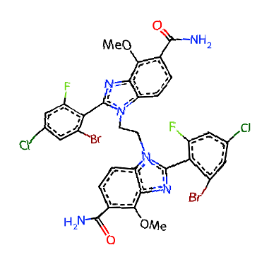 COc1c(C(N)=O)ccc2c1nc(-c1c(F)cc(Cl)cc1Br)n2CCn1c(-c2c(F)cc(Cl)cc2Br)nc2c(OC)c(C(N)=O)ccc21